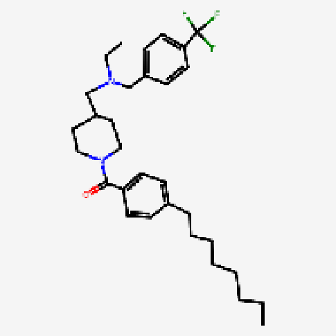 CCCCCCCCc1ccc(C(=O)N2CCC(CN(CC)Cc3ccc(C(F)(F)F)cc3)CC2)cc1